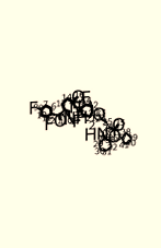 Nc1c(C(=O)c2ccc(F)cc2F)ccc(=O)n1-c1c(F)cc(OCC[C@H](NC2CCCCC2)C(=O)OC2CCCC2)cc1F